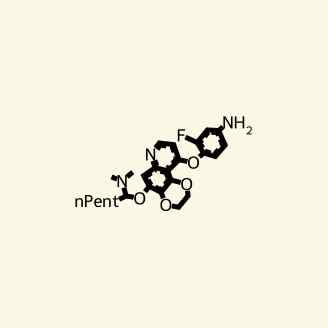 CCCCCC(Oc1cc2nccc(Oc3ccc(N)cc3F)c2c2c1OCCO2)N(C)C